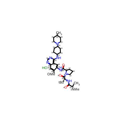 CN[C@@H](C)C(=O)N[C@H](C(=O)N1CCCC1C(=O)Nc1cc2c(NC3CCC(N4CCC(C)CC4)CC3)ncnc2cc1OC)C(C)(C)C.Cl